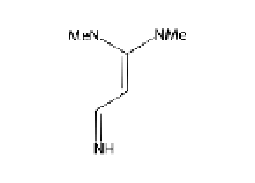 CNC(=CC=N)NC